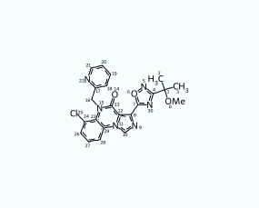 COC(C)(C)c1noc(-c2ncn3c2c(=O)n(Cc2ccccn2)c2c(Cl)cccc23)n1